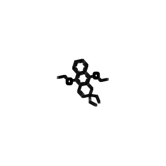 CCOc1c2c(c(OCC)c3ccccc13)CC(CC)(CC)C=C2